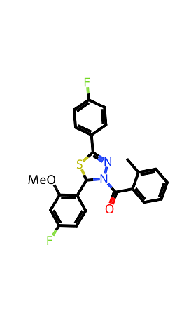 COc1cc(F)ccc1C1SC(c2ccc(F)cc2)=NN1C(=O)c1ccccc1C